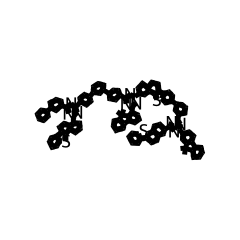 CC1(C)c2ccccc2-c2ccc(-c3nc(-c4cccc(-c5ccc6c(c5)sc5c7cc(-c8nc(-c9ccc(-c%10cccc(-c%11ccc(-c%12nc(-c%13cccc(-c%14ccccc%14)c%13)nc(-c%13cccc%14c%13ccc%13c%15ccccc%15sc%14%13)n%12)cc%11)c%10)cc9)nc(-c9cccc%10c9C(C)(C)c9ccccc9-%10)n8)ccc7ccc65)c4)nc(-c4ccc5c(ccc6c7ccccc7sc56)c4)n3)cc21